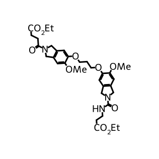 CCOC(=O)CCNC(=O)N1Cc2cc(OC)c(OCCCOc3cc4c(cc3OC)CN(C(=O)CCC(=O)OCC)C4)cc2C1